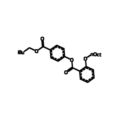 CCCCCCCCOc1ccccc1C(=O)Oc1ccc(C(=O)OCC(C)CC)cc1